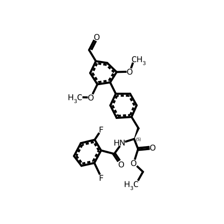 CCOC(=O)[C@H](Cc1ccc(-c2c(OC)cc(C=O)cc2OC)cc1)NC(=O)c1c(F)cccc1F